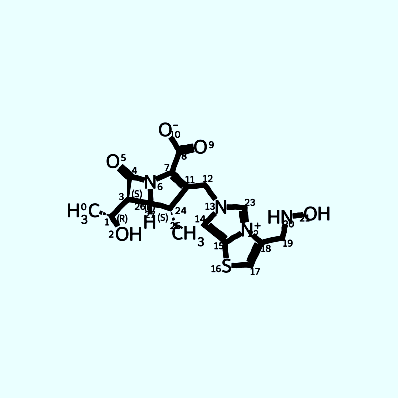 C[C@@H](O)[C@H]1C(=O)N2C(C(=O)[O-])=C(Cn3cc4scc(CNO)[n+]4c3)[C@H](C)[C@H]12